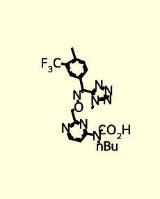 CCCCN(C(=O)O)c1ccnc(CO/N=C(/c2ccc(C)c(C(F)(F)F)c2)c2nnnn2C)n1